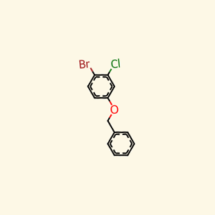 Clc1cc(OCc2ccccc2)ccc1Br